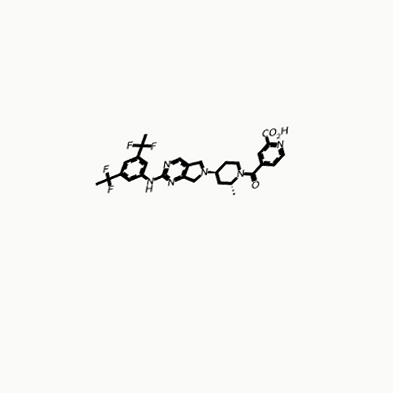 C[C@@H]1C[C@@H](N2Cc3cnc(Nc4cc(C(C)(F)F)cc(C(C)(F)F)c4)nc3C2)CCN1C(=O)c1ccnc(C(=O)O)c1